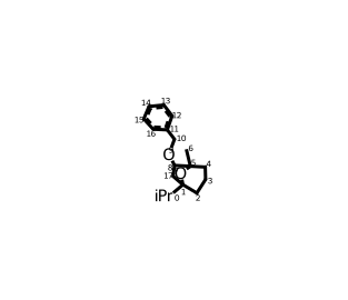 CC(C)C12CCCC(C)(O1)C(OCc1ccccc1)C2